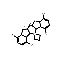 CC1=CC=C(C)C2C1CC(C)C2[Si]1(C2C(C)CC3C(C)=CC=C(C)C32)CCC1